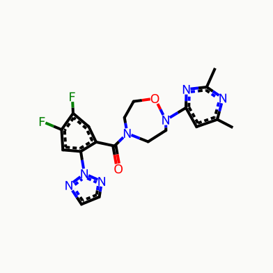 Cc1cc(N2CCN(C(=O)c3cc(F)c(F)cc3-n3nccn3)CCO2)nc(C)n1